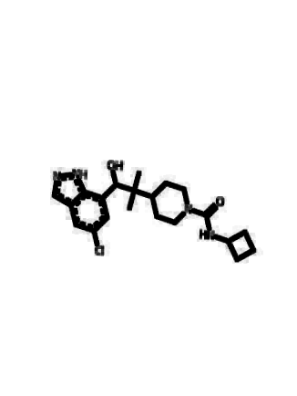 CC(C)(C1CCN(C(=O)NC2CCC2)CC1)C(O)c1cc(Cl)cc2cn[nH]c12